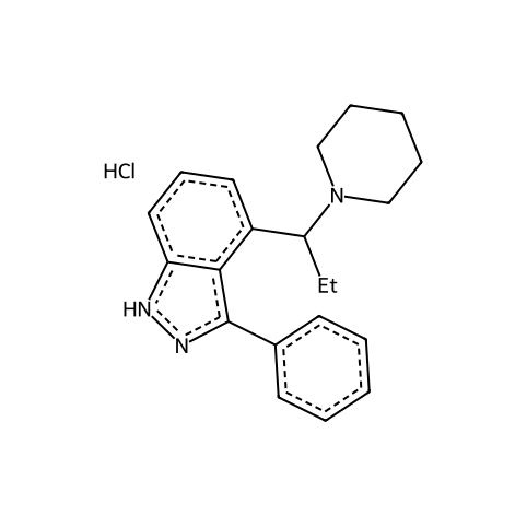 CCC(c1cccc2[nH]nc(-c3ccccc3)c12)N1CCCCC1.Cl